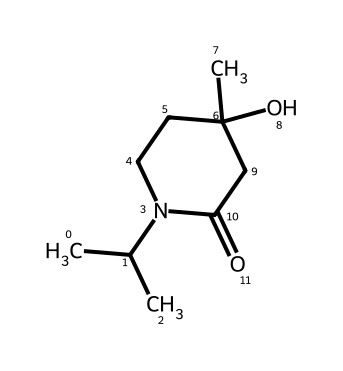 CC(C)N1CCC(C)(O)CC1=O